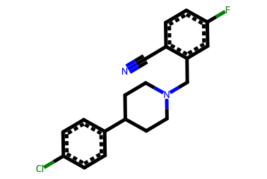 N#Cc1ccc(F)cc1CN1CCC(c2ccc(Cl)cc2)CC1